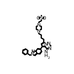 CS(=O)(=O)CCN1CCN(CCCCc2cc(-c3ccc4cn(Cc5ccccc5)nc4c3)c3c(N)ncnn23)CC1